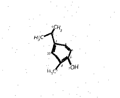 C[C](C)c1ccc(O)c(C)c1